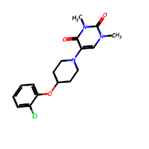 Cn1cc(N2CCC(Oc3ccccc3Cl)CC2)c(=O)n(C)c1=O